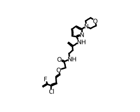 C=C(CCNC(=O)CO/C=C/C=C(/Cl)C(=C)F)Nc1cccc(N2CCOCC2)n1